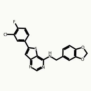 Fc1ccc(-c2cc3ncnc(NCc4ccc5c(c4)OCO5)c3s2)cc1Cl